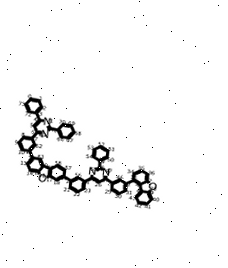 c1ccc(-c2cc(-c3cccc(-c4ccc5oc6cc(-c7cccc(-c8cc(-c9cccc(-c%10cccc%11oc%12ccccc%12c%10%11)c9)nc(-c9ccccc9)n8)c7)ccc6c5c4)c3)nc(-c3ccccc3)n2)cc1